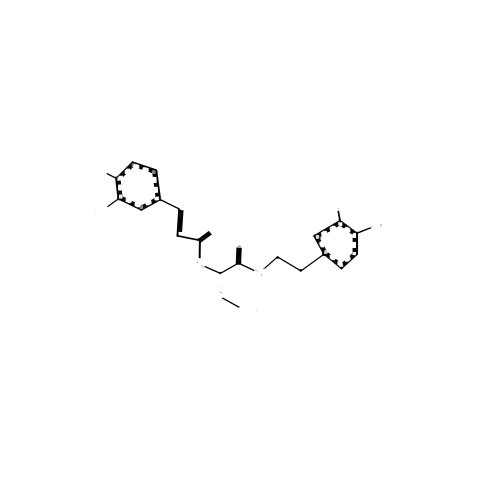 O=C(C=Cc1ccc(O)c(O)c1)N[C@@H](CO)C(=O)NCCc1ccc(O)c(O)c1